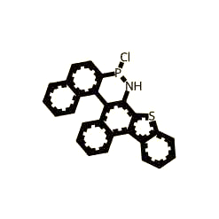 ClP1Nc2c(c3ccccc3c3c2sc2ccccc23)-c2c1ccc1ccccc21